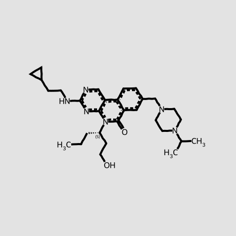 CCC[C@@H](CCO)n1c(=O)c2cc(CN3CCN(C(C)C)CC3)ccc2c2cnc(NCCC3CC3)nc21